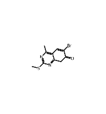 CSc1nc(C)c2c(n1)CC(=O)C(Br)=C2